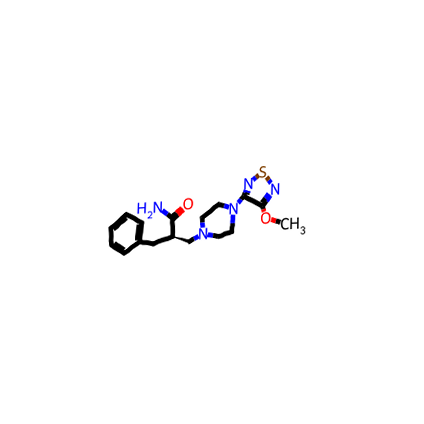 COc1nsnc1N1CCN(C[C@@H](Cc2ccccc2)C(N)=O)CC1